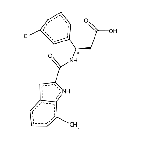 Cc1cccc2cc(C(=O)N[C@H](CC(=O)O)c3cccc(Cl)c3)[nH]c12